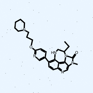 CCC1CNc2c(-c3ccc(OCCCN4CCCCC4)nc3)ccc3ncc4c(c23)n1c(=O)n4C